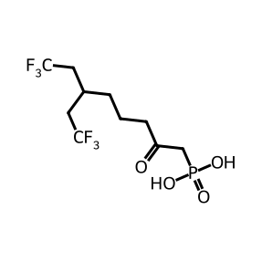 O=C(CCCC(CC(F)(F)F)CC(F)(F)F)CP(=O)(O)O